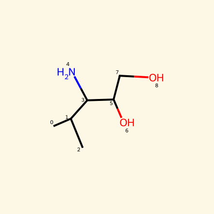 CC(C)C(N)C(O)CO